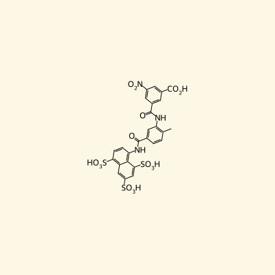 Cc1ccc(C(=O)Nc2ccc(S(=O)(=O)O)c3cc(S(=O)(=O)O)cc(S(=O)(=O)O)c23)cc1NC(=O)c1cc(C(=O)O)cc([N+](=O)[O-])c1